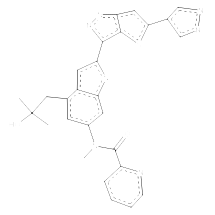 CN(C(=O)c1ccccn1)c1cc(CC(C)(C)O)c2cc(-c3n[nH]c4cc(-c5cn[nH]c5)sc34)[nH]c2c1